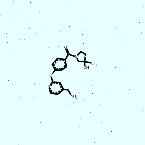 NCc1ccnc(Oc2ccc(C(=O)N3CCC(O)(C(F)(F)F)C3)cc2)c1